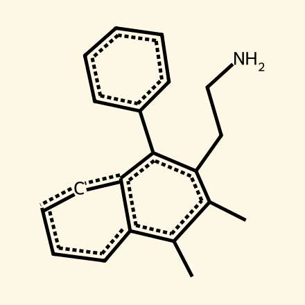 Cc1c(CCN)c(-c2ccccc2)c2ccccc2c1C